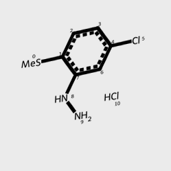 CSc1ccc(Cl)cc1NN.Cl